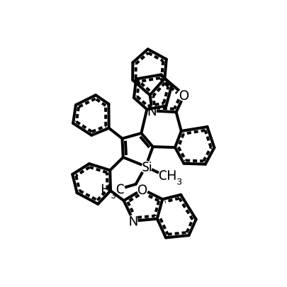 CC[Si]1(C)C(c2ccccc2-c2nc3ccccc3o2)=C(c2ccccc2)C(c2ccccc2)=C1c1ccccc1-c1nc2ccccc2o1